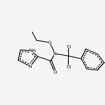 CCON(C(=O)c1ncc[nH]1)C(Cl)(Cl)c1ccccc1